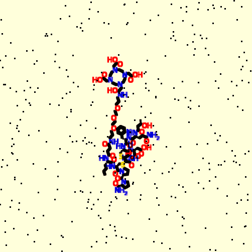 CCCC[C@H](NC(=O)CCC(=O)NCCCOCCOCCOCCCNC(O)CN1CCN(CC(=O)O)CCN(CC(=O)O)CCN(CC(=O)O)CC1)C(=O)N[C@@H](CSC1=C(SC[C@H](NC(=O)[C@H](Cc2ccccc2)NC(=O)[C@H](CCC(N)=O)NC(=O)C[C@@H](C)O)C(=O)N[C@@H](CC(=O)O)C(N)=O)C(=O)NC1=O)C(=O)N1CCC[C@H]1C(=O)N1CCC[C@H]1C(N)=O